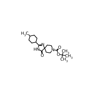 CC1CCC(C2=NC3(CCN(C(=O)OC(C)(C)C)CC3)C(=O)N2)CC1